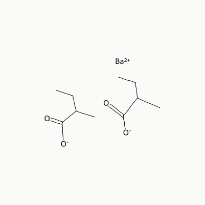 CCC(C)C(=O)[O-].CCC(C)C(=O)[O-].[Ba+2]